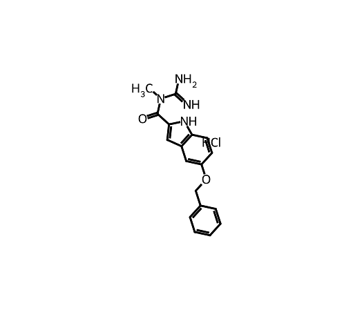 CN(C(=N)N)C(=O)c1cc2cc(OCc3ccccc3)ccc2[nH]1.Cl